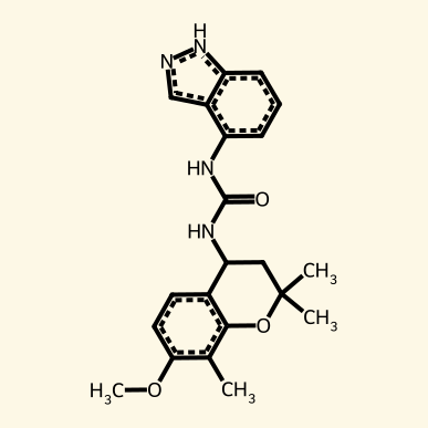 COc1ccc2c(c1C)OC(C)(C)CC2NC(=O)Nc1cccc2[nH]ncc12